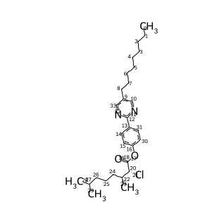 CCCCCCCCCc1cnc(-c2ccc(OC(=O)[C@H](Cl)[C@@H](C)CCCC(C)C)cc2)nc1